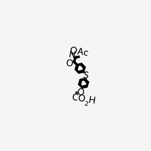 CC(=O)O/N=C(\C)C(=O)c1ccc(Sc2ccc(OCC(=O)O)cc2)cc1